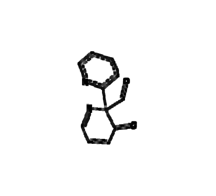 O=CC1(c2ccccn2)N=CC=CC1=O